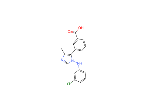 Cc1ncn(Nc2cccc(Cl)c2)c1-c1cccc(C(=O)O)c1